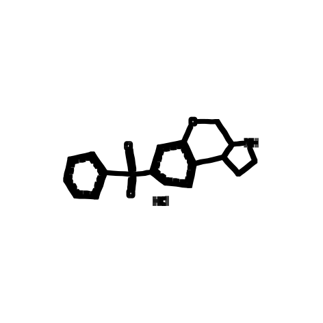 Cl.O=S(=O)(c1ccccc1)c1ccc2c(c1)OCC1NCCC21